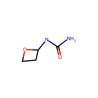 NC(=O)[N]C1CCO1